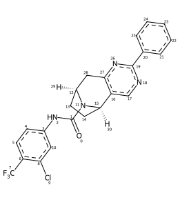 O=C(Nc1ccc(C(F)(F)F)c(Cl)c1)N1[C@H]2CC[C@@H]1c1cnc(-c3ccccc3)nc1C2